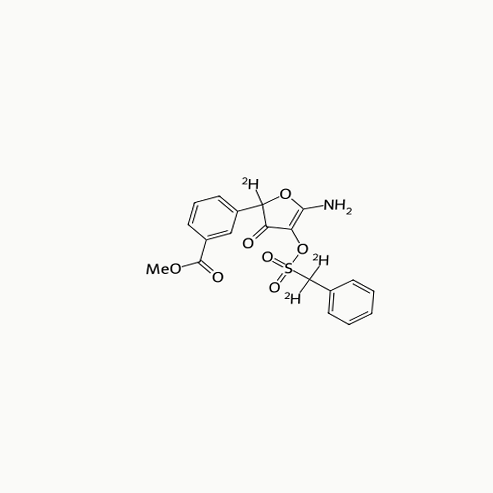 [2H]C1(c2cccc(C(=O)OC)c2)OC(N)=C(OS(=O)(=O)C([2H])([2H])c2ccccc2)C1=O